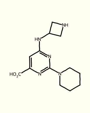 O=C(O)c1cc(NC2CNC2)nc(N2CCCCC2)n1